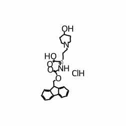 Cl.O=C(N[C@@H](CCCN1CCC(O)CC1)C(=O)O)OCC1c2ccccc2-c2ccccc21